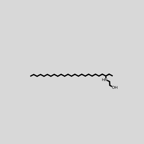 CCCCCCCCCCCCCCCCCCCCCCC(CC)NCCO